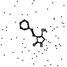 CC1=C(N=Nc2ccccc2)C(=O)NC1